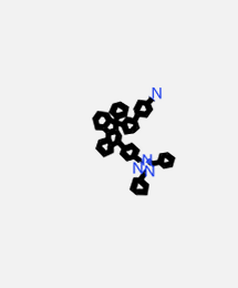 N#Cc1ccc(-c2cccc(C3(c4ccccc4)c4ccccc4-c4c3cc(-c3ccc(-c5nc(-c6ccccc6)nc(-c6ccccc6)n5)cc3)c3ccccc43)c2)cc1